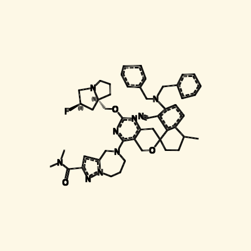 CC1CCC2(Cc3nc(OC[C@@]45CCCN4C[C@H](F)C5)nc(N4CCCn5nc(C(=O)N(C)C)cc5C4)c3CO2)c2c1ccc(N(Cc1ccccc1)Cc1ccccc1)c2C#N